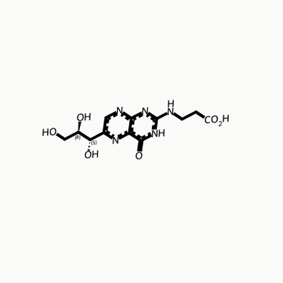 O=C(O)CCNc1nc2ncc([C@H](O)[C@H](O)CO)nc2c(=O)[nH]1